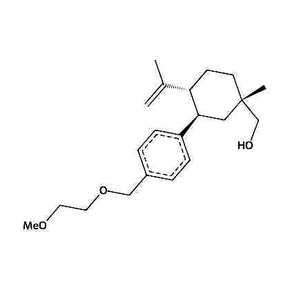 C=C(C)[C@@H]1CC[C@](C)(CO)C[C@H]1c1ccc(COCCOC)cc1